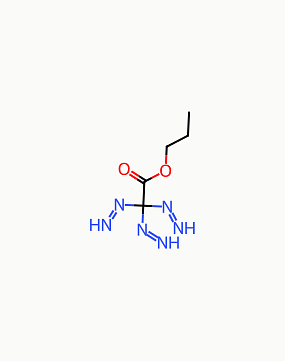 CCCOC(=O)C(N=N)(N=N)N=N